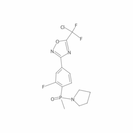 CP(=O)(c1ccc(-c2noc(C(F)(F)Cl)n2)cc1F)N1CCCC1